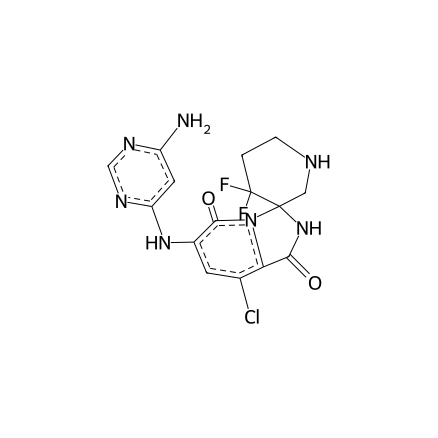 Nc1cc(Nc2cc(Cl)c3n(c2=O)C2(CNCCC2(F)F)NC3=O)ncn1